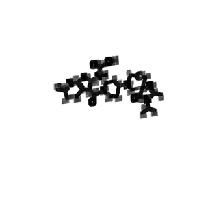 CC1=NC2(CCCN(C3CCN(C(=O)c4c(NC(=O)O)sc5nc(C)ccc45)CC3)C2)C(=O)N1C(C)C